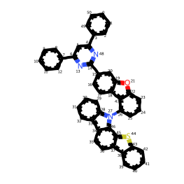 c1ccc(-c2cc(-c3ccccc3)nc(-c3ccc4c(c3)oc3cccc(-n5c6ccccc6c6ccc7c8ccccc8sc7c65)c34)n2)cc1